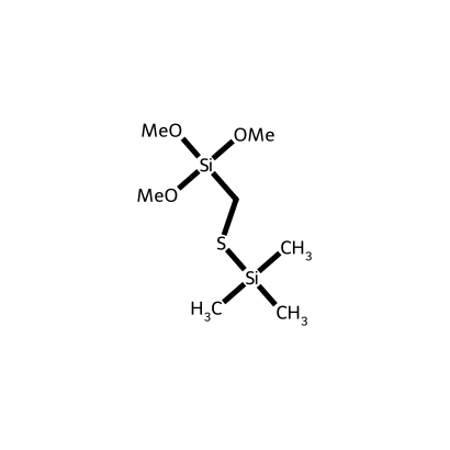 CO[Si](CS[Si](C)(C)C)(OC)OC